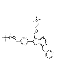 CC(C)(C)[Si](C)(C)OCc1ccc(-c2cc3c(Cc4ccccc4)ncnc3n2COCC[Si](C)(C)C)cc1